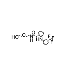 O=C(Cc1ccccc1Nc1cccc(C(F)(F)F)c1)NCCOCCO